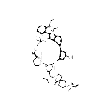 C=CS(=O)(=O)N1CCC2(CCN([C@H](C(=O)N[C@H]3Cc4cc(O)cc(c4)-c4ccc5c(c4)c(c(-c4cccnc4[C@H](C)OC)n5CC)CC(C)(C)COC(=O)[C@@H]4CCCN(N4)C3=O)C(C)C)C2=O)C1